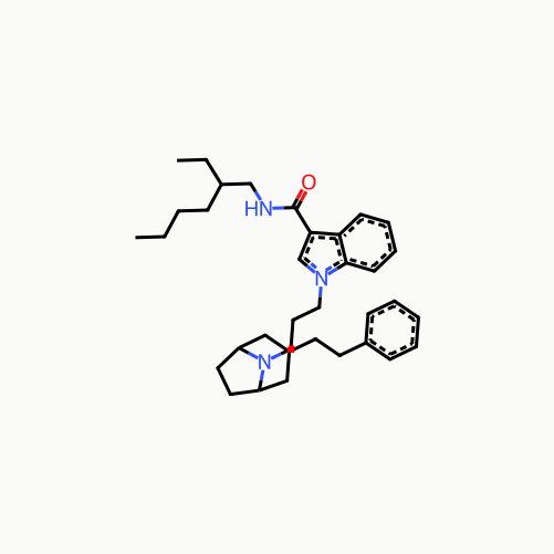 CCCCC(CC)CNC(=O)c1cn(CCCN2C3CCC2CC(CCc2ccccc2)C3)c2ccccc12